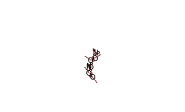 CCCCCCOc1c(C)ccc2c(OCCCCCC)c(-c3ccc(-c4nnc(-c5ccc(-c6ccc7c(OCCCCCC)c(-c8ccc(N(c9ccccc9)c9ccc(C)cc9)cc8)ccc7c6OCCCCCC)cc5)o4)cc3)ccc12